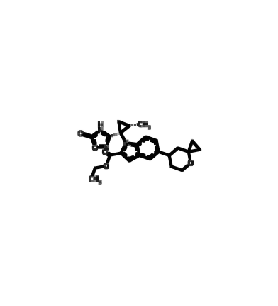 CCOC(=O)c1cc2cc(C3CCOC4(CC4)C3)ccc2n1[C@@]1(c2noc(=O)[nH]2)C[C@@H]1C